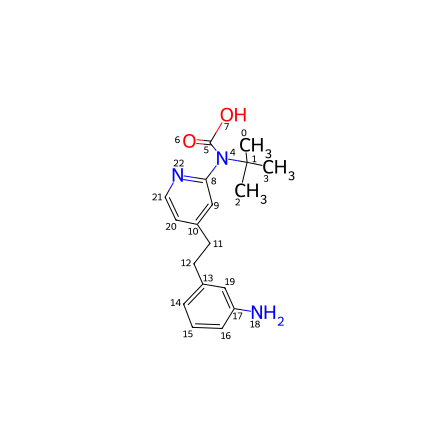 CC(C)(C)N(C(=O)O)c1cc(CCc2cccc(N)c2)ccn1